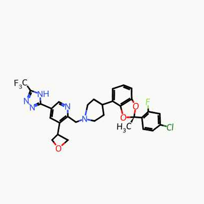 C[C@]1(c2ccc(Cl)cc2F)Oc2cccc(C3CCN(Cc4ncc(-c5nnc(C(F)(F)F)[nH]5)cc4C4COC4)CC3)c2O1